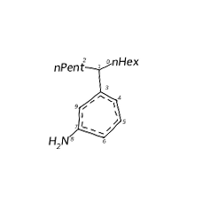 CCCCCCC(CCCCC)c1cccc(N)c1